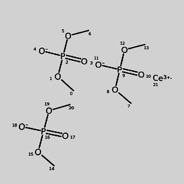 COP(=O)([O-])OC.COP(=O)([O-])OC.COP(=O)([O-])OC.[Ce+3]